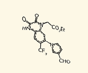 CCOC(=O)Cn1c(=O)c(=O)[nH]c2cc(C(F)(F)F)c(-n3ccc(C=O)c3)cc21